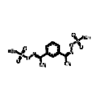 CCCCS(=O)(=O)O/N=C(\C#N)c1cccc(/C(C#N)=N\OS(=O)(=O)CCCC)c1